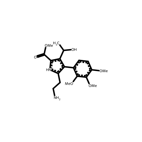 COC(=O)c1[nH]c(CCN)c(-c2ccc(OC)c(OC)c2OC)c1C(C)O